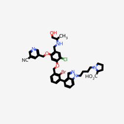 CC(CO)NCc1cc(Cl)c(OCc2cccc(-c3cccc4c3cnn4CCCCN3CCCC3C(=O)O)c2Br)cc1OCc1cncc(C#N)c1